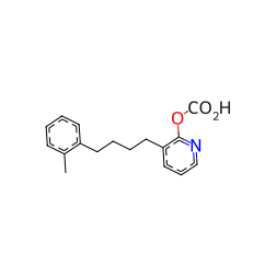 Cc1ccccc1CCCCc1cccnc1OC(=O)O